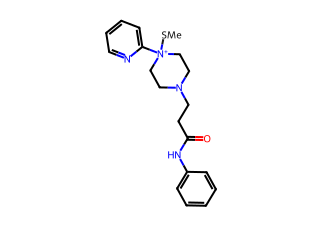 CS[N+]1(c2ccccn2)CCN(CCC(=O)Nc2ccccc2)CC1